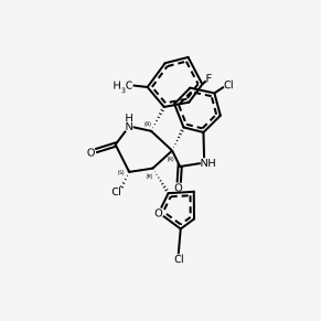 Cc1ccc(F)cc1[C@H]1NC(=O)[C@@H](Cl)[C@@H](c2ccc(Cl)o2)[C@]12C(=O)Nc1cc(Cl)ccc12